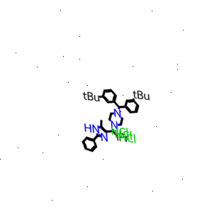 Cc1[nH]c(-c2ccccc2)nc1C(C(C)C)N1CCN(C(c2cccc(C(C)(C)C)c2)c2cccc(C(C)(C)C)c2)CC1.Cl.Cl.Cl